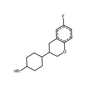 CCCC1CCC(C2COc3ccc(F)cc3C2)CC1